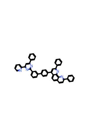 c1ccc(-c2cc(-c3ccccn3)nc(-c3cccc(-c4ccc(-c5cc(-c6ccccc6)nc6c5ccc5ccc(-c7ccccc7)nc56)cc4)c3)n2)cc1